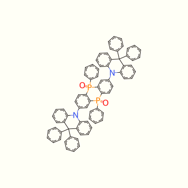 O=P1(c2ccccc2)c2ccc(N3c4ccccc4C(c4ccccc4)(c4ccccc4)c4ccccc43)cc2P(=O)(c2ccccc2)c2ccc(N3c4ccccc4C(c4ccccc4)(c4ccccc4)c4ccccc43)cc21